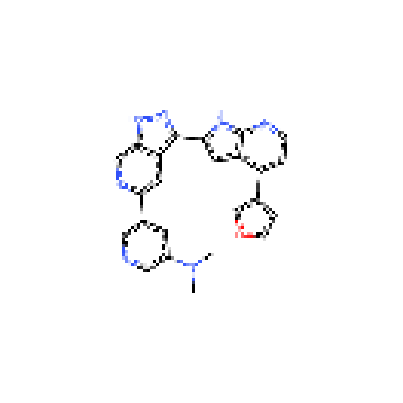 CN(C)c1cncc(-c2cc3c(-c4cc5c(-c6ccoc6)ccnc5[nH]4)n[nH]c3cn2)c1